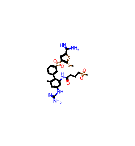 CSc1sc(C(=N)N)cc1S(=O)(=O)c1cccc(-c2c(C)cc(NC(=N)N)cc2NC(=O)CCCS(C)(=O)=O)c1